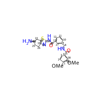 COc1ccc(C(=O)NCc2cccc(C(=O)Nc3nc4c(s3)C[C@H](N)CC4)c2)cc1OC